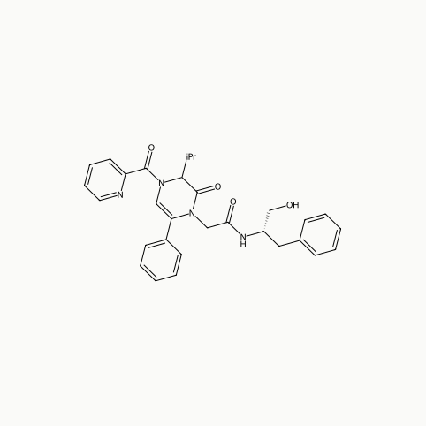 CC(C)C1C(=O)N(CC(=O)N[C@H](CO)Cc2ccccc2)C(c2ccccc2)=CN1C(=O)c1ccccn1